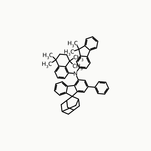 CC1(C)CCC(C)(C)c2c(N(c3ccc4c(c3)C(C)(C)c3ccccc3-4)c3cc(-c4ccccc4)cc4c3-c3ccccc3C43C4CC5CC(C4)CC3C5)cccc21